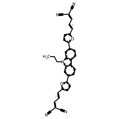 CCCn1c2cc(-c3ccc(/C=C/C=C(C#N)C#N)o3)ccc2c2ccc(-c3ccc(/C=C/C=C(C#N)C#N)o3)cc21